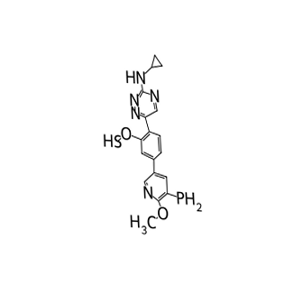 COc1ncc(-c2ccc(-c3cnc(NC4CC4)nn3)c(OS)c2)cc1P